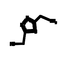 NCc1nnc(CS)s1